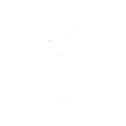 CC[C@@H]1N(C(=O)c2ccccc2C(N)=O)[C@]12C1CCOC(=O)N12